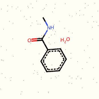 CNC(=O)c1ccccc1.O